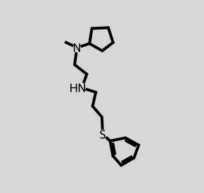 CN(CCNCCCSc1ccccc1)C1CCCC1